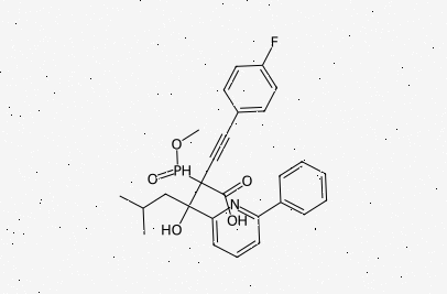 CO[PH](=O)C(C#Cc1ccc(F)cc1)(C(=O)O)C(O)(CC(C)C)c1cccc(-c2ccccc2)n1